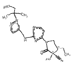 CC[C@H]1CN(c2ccnc(Nc3cnn(C(C)(C)CO)c3)n2)C(=O)[C@@]1(O)C#N